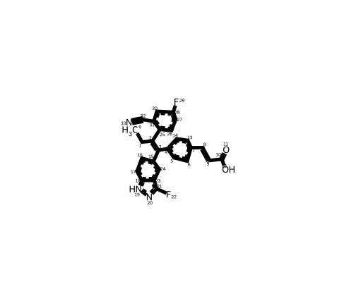 CC/C(=C(/c1ccc(/C=C/C(=O)O)cc1)c1ccc2[nH]nc(F)c2c1)c1ccc(F)cc1C#N